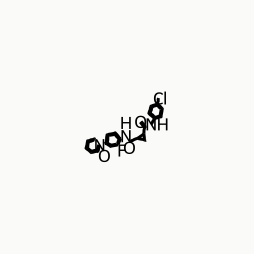 O=C(Nc1ccc(Cl)cc1)C1CC1C(=O)Nc1ccc(-n2ccccc2=O)cc1F